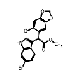 COC(=O)C(c1cc2c(cc1Cl)OCO2)c1c[nH]c2cc(Br)ccc12